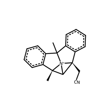 CC12c3ccccc3[C@@]3(C)C4[C@@](CC#N)(c5ccccc51)[N+]423